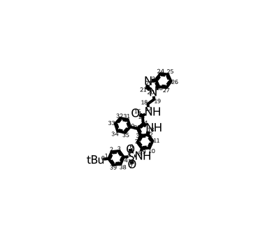 CC(C)(C)c1ccc(S(=O)(=O)Nc2ccc3[nH]c(C(=O)NCCn4cnc5ccccc54)c(-c4ccccc4)c3c2)cc1